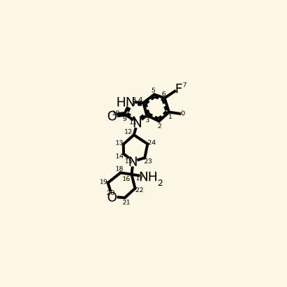 Cc1cc2c(cc1F)[nH]c(=O)n2C1CCN(C2(N)CCOCC2)CC1